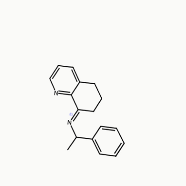 CC(/N=C1\CCCc2cccnc21)c1ccccc1